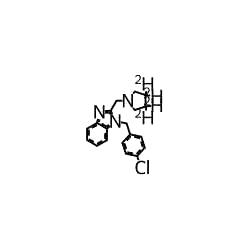 [2H]C1([2H])CN(Cc2nc3ccccc3n2Cc2ccc(Cl)cc2)CC1([2H])[2H]